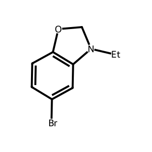 CCN1COc2ccc(Br)cc21